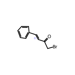 O=C(/C=C/c1ccccc1)CBr